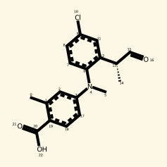 Cc1cc(N(C)c2ccc(Cl)cc2[C@@H](C)C=O)ccc1C(=O)O